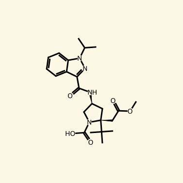 COC(=O)C[C@]1(C(C)(C)C)C[C@H](NC(=O)c2nn(C(C)C)c3ccccc23)CN1C(=O)O